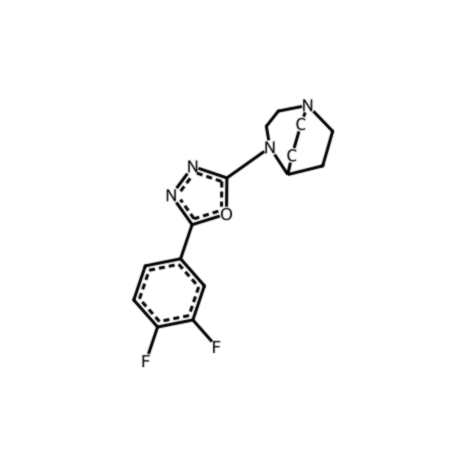 Fc1ccc(-c2nnc(N3CCN4CCC3CC4)o2)cc1F